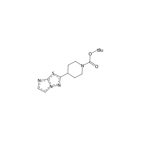 CC(C)(C)OC(=O)N1CCC(c2nn3ccnc3s2)CC1